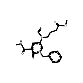 CNC(=O)c1cc(N(C=O)CCCC(=O)OC)cn(Cc2ccccc2)c1=O